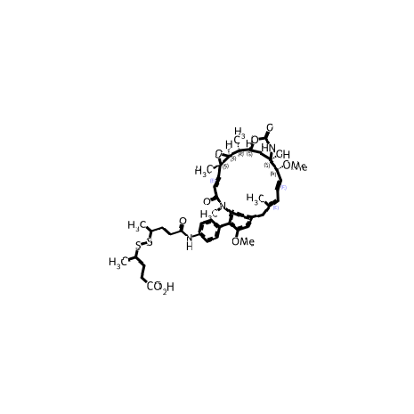 COc1cc2cc(c1-c1ccc(NC(=O)CCC(C)SSC(C)CCC(=O)O)cc1)N(C)C(=O)/C=C/[C@]1(C)O[C@H]1[C@H](C)[C@@H]1C[C@@](O)(NC(=O)O1)[C@H](OC)/C=C/C=C(\C)C2